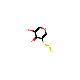 O=c1c(O)cocc1SSS